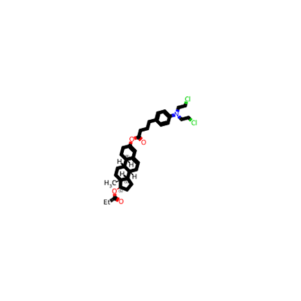 CCC(=O)O[C@H]1CC[C@H]2[C@@H]3CC=C4C=C(OC(=O)CCCc5ccc(N(CCCl)CCCl)cc5)CC[C@@H]4[C@H]3CC[C@]12C